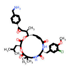 COc1ccc(C[C@H]2NC(=O)C=CC[C@@H]([C@H](C)[C@H]3O[C@@H]3c3ccc(CN)cc3)OC(=O)[C@H](CC(C)C)OC(=O)C(C)(C)CNC2=O)cc1Cl